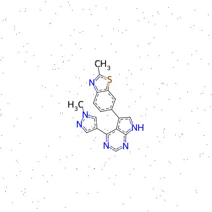 Cc1nc2ccc(-c3c[nH]c4ncnc(-c5cnn(C)c5)c34)cc2s1